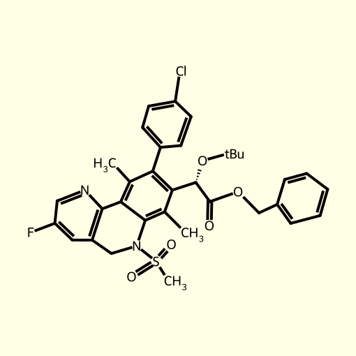 Cc1c(-c2ccc(Cl)cc2)c([C@H](OC(C)(C)C)C(=O)OCc2ccccc2)c(C)c2c1-c1ncc(F)cc1CN2S(C)(=O)=O